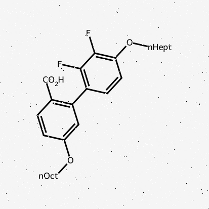 CCCCCCCCOc1ccc(C(=O)O)c(-c2ccc(OCCCCCCC)c(F)c2F)c1